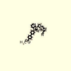 COC(=O)c1ccc(-c2ccc(-n3c(=O)n([C@H]4CCN(Cc5ncc(C#N)n5C)C4)c4ncccc43)cc2)cc1